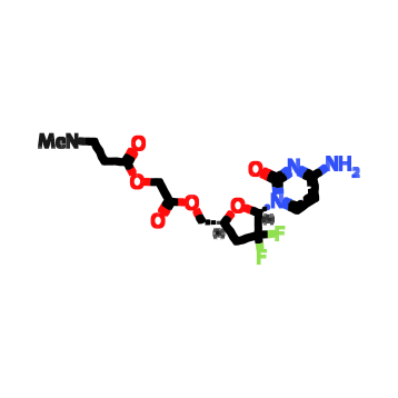 CNCCC(=O)OCC(=O)OC[C@H]1CC(F)(F)[C@@H](n2ccc(N)nc2=O)O1